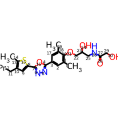 Cc1cc(-c2nnc(-c3cc(CC(C)C)c(C)s3)o2)cc(C)c1OCC(O)CNC(=O)CO